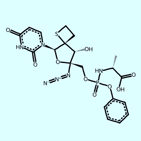 C[C@@H](NP(=O)(OC[C@@]1(N=[N+]=[N-])O[C@@H](n2ccc(=O)[nH]c2=O)[C@@]2(CCS2)[C@@H]1O)Oc1ccccc1)C(=O)O